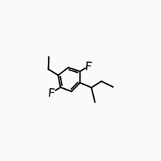 CCc1cc(F)c(C(C)CC)cc1F